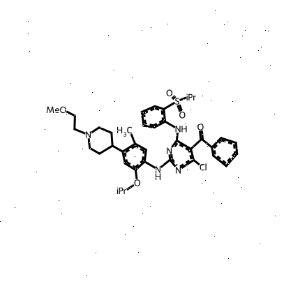 COCCN1CCC(c2cc(OC(C)C)c(Nc3nc(Cl)c(C(=O)c4ccccc4)c(Nc4ccccc4S(=O)(=O)C(C)C)n3)cc2C)CC1